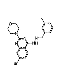 Cc1cccc(/C=N/Nc2nc(N3CCOCC3)nc3nc(Br)ccc23)c1